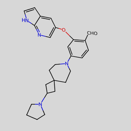 O=Cc1ccc(N2CCC3(CC2)CC(N2CCCC2)C3)cc1Oc1cnc2[nH]ccc2c1